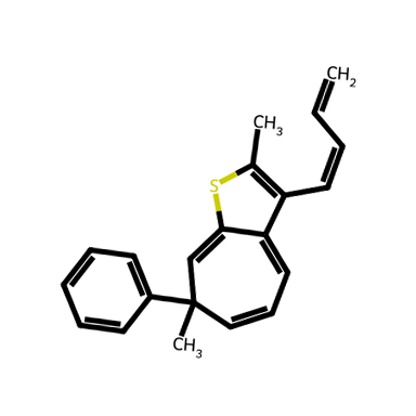 C=C/C=C\c1c(C)sc2c1=CC=CC(C)(c1ccccc1)C=2